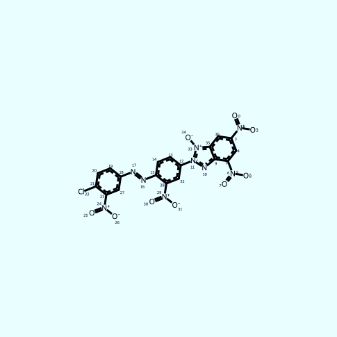 O=[N+]([O-])c1cc([N+](=O)[O-])c2nn(-c3ccc(N=Nc4ccc(Cl)c([N+](=O)[O-])c4)c([N+](=O)[O-])c3)[n+]([O-])c2c1